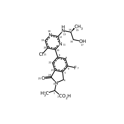 CC(C(=O)O)N1Cc2c(F)cc(-c3nc(N[C@@H](C)CO)ncc3Cl)cc2C1=O